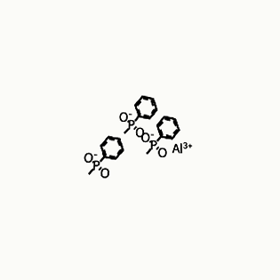 CP(=O)([O-])c1ccccc1.CP(=O)([O-])c1ccccc1.CP(=O)([O-])c1ccccc1.[Al+3]